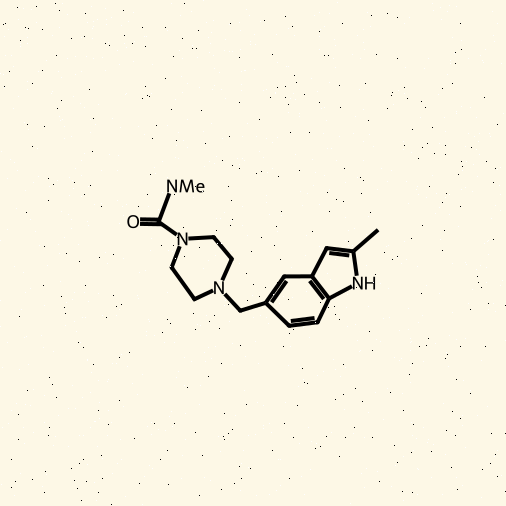 CNC(=O)N1CCN(Cc2ccc3[nH]c(C)cc3c2)CC1